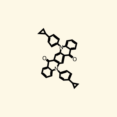 O=c1c2ccccc2n(-c2ccc(C3CC3)cc2)c2cc3c(=O)c4ccccc4n(-c4ccc(C5CC5)cc4)c3cc12